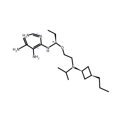 C=C(N)/C(N)=C(\N=C/N)N[C@@H](CC)OCCN(C(C)C)[C@H]1C[C@@H](CCC)C1